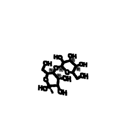 C[C@]1(O)OC(CO)[C@@H](O[C@@H]2OC(CO)[C@H](O)[C@@H](O)C2O)[C@@H](O)C1O